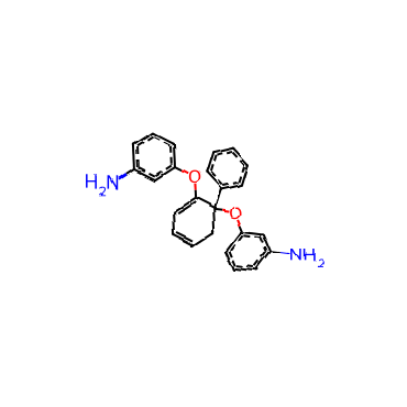 Nc1cccc(OC2=CC=CCC2(Oc2cccc(N)c2)c2ccccc2)c1